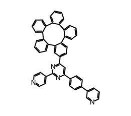 c1cncc(-c2ccc(-c3cc(-c4ccc5c6ccccc6c6ccccc6c6ccccc6c6ccccc6c5c4)nc(-c4ccncc4)n3)cc2)c1